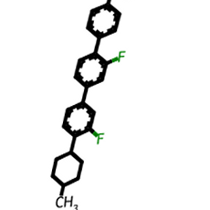 Cc1ccc(-c2ccc(-c3ccc(C4CCC(C)CC4)c(F)c3)cc2F)cc1